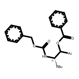 CCCC[C@H](NC(=O)OCc1ccccc1)C(OC(=O)c1ccccc1)C(C)=O